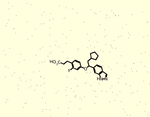 O=C(O)CCc1ccc(OC(CC2CCCC2)c2ccc3cn[nH]c3c2)cc1F